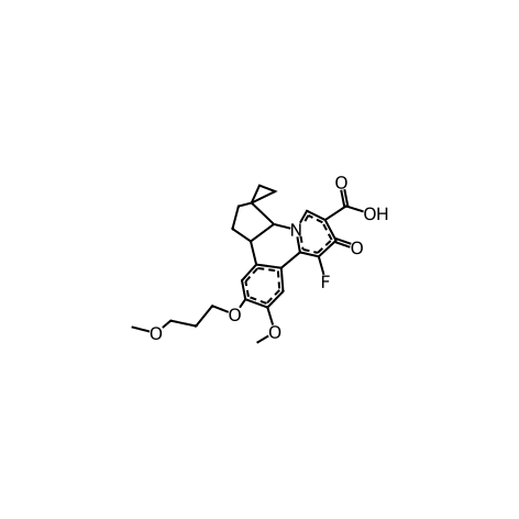 COCCCOc1cc2c(cc1OC)-c1c(F)c(=O)c(C(=O)O)cn1C1C2CCC12CC2